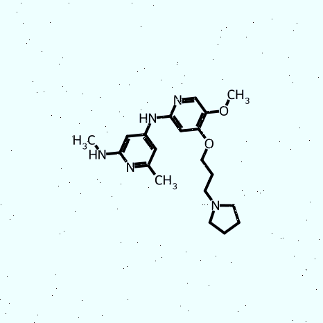 CNc1cc(Nc2cc(OCCCN3CCCC3)c(OC)cn2)cc(C)n1